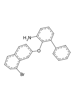 Nc1cccc(-c2ccccc2)c1Oc1ccc2cccc(Br)c2c1